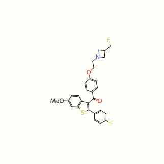 COc1ccc2c(C(=O)c3ccc(OCCN4CC(CF)C4)cc3)c(-c3ccc(F)cc3)sc2c1